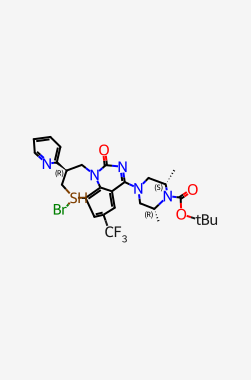 C[C@@H]1CN(c2nc(=O)n3c4c(cc(C(F)(F)F)cc24)[SH](Br)C[C@@H](c2ccccn2)C3)C[C@H](C)N1C(=O)OC(C)(C)C